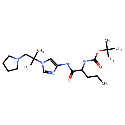 CCCC(NC(=O)OC(C)(C)C)C(=O)Nc1cn(C(C)(C)CN2CCCC2)cn1